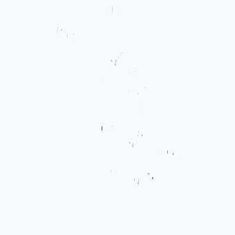 CCCCN(CCCC)S(=O)(=O)c1cc(O)c(N=Nc2c(C)nn(-c3ccccc3)c2O)c2ccccc12